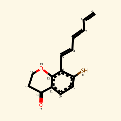 C=CC=CC=Cc1c(S)ccc2c1OCCC2=O